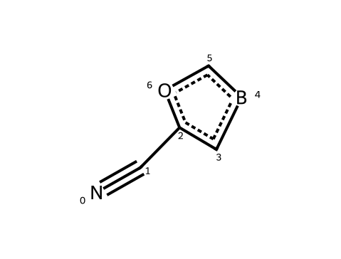 N#Cc1cbco1